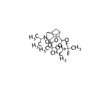 CC(C)N1C(=O)C2C3CC(C(OC(=O)C(C)(C)C)C31)C2C(=O)OC(C)C(C)(F)F